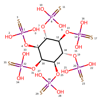 OP(O)(=S)O[C@H]1[C@H](OP(O)(O)=S)[C@@H](OP(O)(O)=S)[C@H](OP(O)(O)=S)[C@@H](OP(O)(O)=S)[C@H]1OP(O)(O)=S